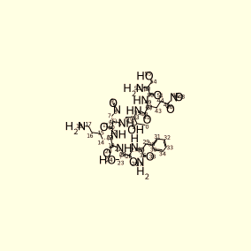 CC(O)[C@@H](CN[C@@H](CN=O)C(=O)N[C@@H](CCCCN)C(=O)N[C@@H](CO)C(=O)N[C@@H](Cc1ccccc1)C(N)=O)NC(=O)[C@H](CCC(=O)N=O)NC(=O)[C@@H](N)CO